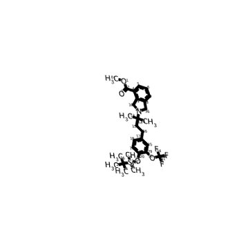 COC(=O)c1cccc2c1CN(C(C)(C)CCc1ccc(O[Si](C)(C)C(C)(C)C)c(OC(F)(F)F)c1)C2